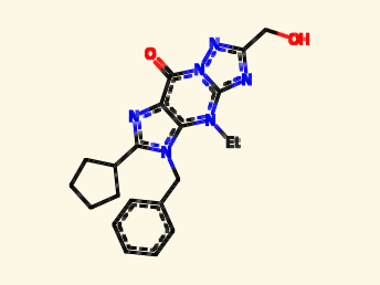 CCn1c2c(nc(C3CCCC3)n2Cc2ccccc2)c(=O)n2nc(CO)nc12